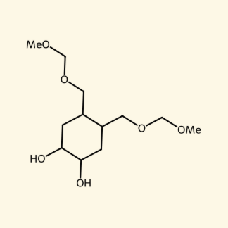 COCOCC1CC(O)C(O)CC1COCOC